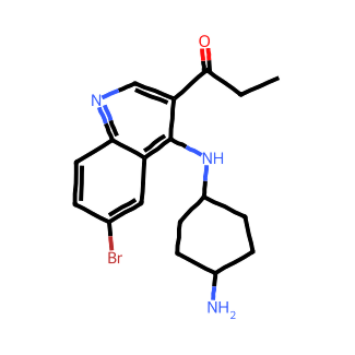 CCC(=O)c1cnc2ccc(Br)cc2c1NC1CCC(N)CC1